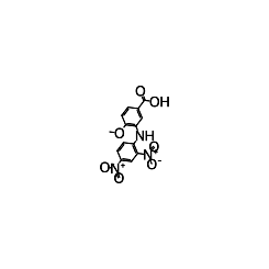 COc1ccc(C(=O)O)cc1Nc1ccc([N+](=O)[O-])cc1[N+](=O)[O-]